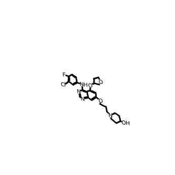 OC1CCN(CCCOc2cc(OC3CCOC3)c3c(Nc4ccc(F)c(Cl)c4)ncnc3c2)CC1